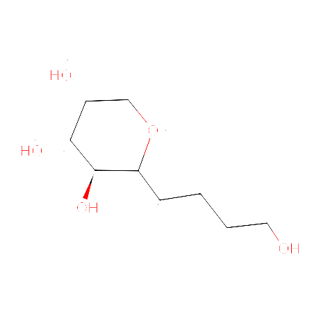 C[C@@H]1OC(CCCCO)[C@@H](O)[C@H](O)[C@@H]1O